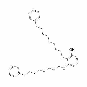 Oc1cccc(OCCCCCCCCc2ccccc2)c1OCCCCCCCCc1ccccc1